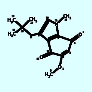 COC1=CC(=O)c2c(c(CC(C)(C)C)cn2C)C1=O